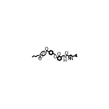 CCCC[S+]([O-])N1CCN(C(=O)c2ccc(COc3cccc(CNC(=O)c4cc(C5CC5)nn4C)c3OC)cc2)CC1